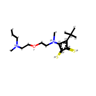 CCCN(C)CCOCCN(C)c1c(C(C)(C)C)c(=S)c1=S